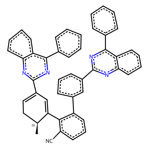 C[C@H]1CC=C(c2nc(-c3ccccc3)c3ccccc3n2)C=C1c1c(C#N)cccc1-c1cccc(-c2nc(-c3ccccc3)c3ccccc3n2)c1